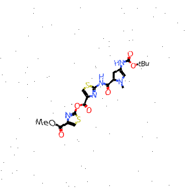 COC(=O)c1csc(OC(=O)c2csc(NC(=O)C3CC(NC(=O)OC(C)(C)C)=CN3C)n2)n1